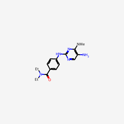 CCN(CC)C(=O)c1ccc(Nc2ncc(N)c(NC)n2)cc1